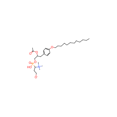 CCCCCCCCCCCCOc1ccc(CC(COP(=O)(O)C(CC[O-])[N+](C)(C)C)OC(C)=O)cc1